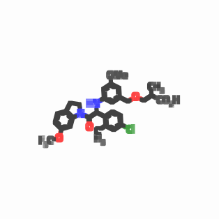 COc1cc(COCC(C)C(=O)O)cc(NC(C(=O)N2CCc3ccc(OC(F)(F)F)cc32)c2ccc(Cl)cc2C)c1